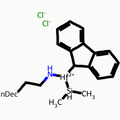 CCCCCCCCCCCC[NH][Hf+2]([CH]1c2ccccc2-c2ccccc21)[SiH](C)C.[Cl-].[Cl-]